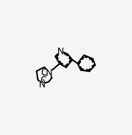 c1ccc(-c2cncc(N3CCN4CCC3CC4)c2)cc1